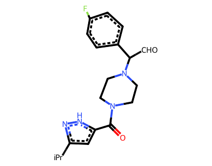 CC(C)c1cc(C(=O)N2CCN(C(C=O)c3ccc(F)cc3)CC2)[nH]n1